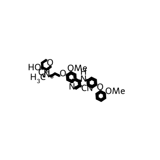 COc1cc2c(Nc3ccc(Oc4ccccc4OC)cc3)c(C#N)cnc2cc1OCCCN(C)[C@@H]1COCC[C@@]1(C)O